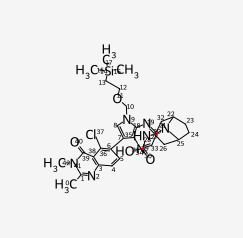 Cc1nc2ccc(-c3cn(COCC[Si](C)(C)C)c4nc(N5C6CCC5CC(NC(=O)O)C6)cnc34)c(Cl)c2c(=O)n1C